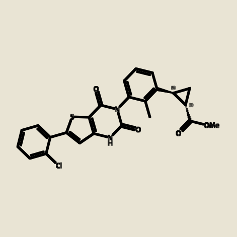 COC(=O)[C@H]1C[C@@H]1c1cccc(-n2c(=O)[nH]c3cc(-c4ccccc4Cl)sc3c2=O)c1C